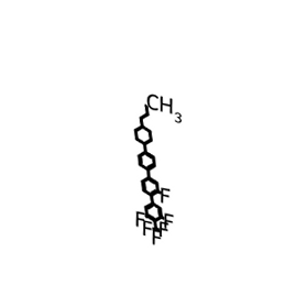 CCCCC1CCC(c2ccc(-c3ccc(-c4cc(F)c(C(F)(F)F)c(F)c4)c(F)c3)cc2)CC1